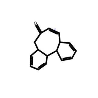 O=C1[CH]C2C=CC=CC2C2C=CC=CC2/C=C\1